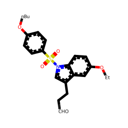 CCCCOc1ccc(S(=O)(=O)n2cc(CCC=O)c3cc(OCC)ccc32)cc1